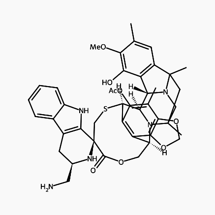 COc1c(C)cc2c(c1O)[C@H]1[C@@H]3[C@@H]4SC[C@]5(N[C@@H](CN)Cc6c5[nH]c5ccccc65)C(=O)OC[C@@H](c5c6c(c(C)c(OC(C)=O)c54)OCO6)N3C3(C)CN1C2(C)C3